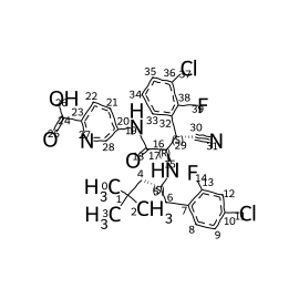 CC(C)(C)C[C@@H](Cc1ccc(Cl)cc1F)N[C@@H](C(=O)Nc1ccc(C(=O)O)nc1)[C@@H](C#N)c1cccc(Cl)c1F